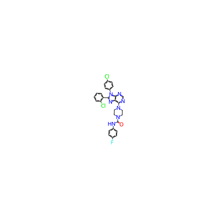 O=C(Nc1ccc(F)cc1)N1CCN(c2ncnc3c2nc(-c2ccccc2Cl)n3-c2ccc(Cl)cc2)CC1